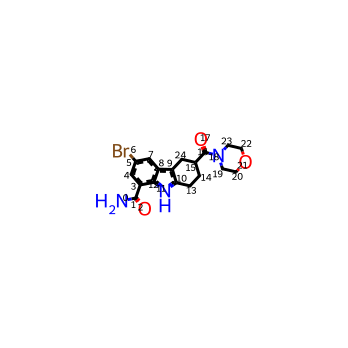 NC(=O)c1cc(Br)cc2c3c([nH]c12)CCC(C(=O)N1CCOCC1)C3